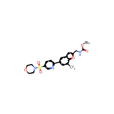 CC(C)(C)OC(=O)NCc1cc2cc(-c3ccc(S(=O)(=O)N4CCOCC4)cn3)cc(C(F)(F)F)c2o1